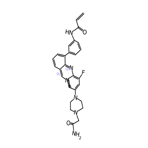 C=CC(=O)Nc1cccc(C2=CC=CC(=C/N=C)/C2=N\c2ccc(N3CCN(CC(N)=O)CC3)cc2F)c1